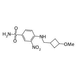 COC1CC(CNc2ccc(S(N)(=O)=O)cc2[N+](=O)[O-])C1